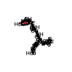 CC1=C(C)C(=O)C(C(C)(C)CC(=O)N(C)CCN(CCCC(=O)NCCCCC(NC(=O)CCC(C)[C@H]2CC[C@H]3[C@@H]4[C@@H](O)C[C@@H]5C[C@H](O)CC[C@]5(C)[C@H]4CC[C@]23C)C(=O)O)C(=O)Oc2ccc3nc(C4=NC(C(=O)O)CS4)sc3c2)=C(C)C1=O